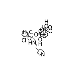 CCC(CNCCc1ccncc1)Oc1ccccc1Cl.O.O=C(O)C(=O)O.O=C(O)C(=O)O